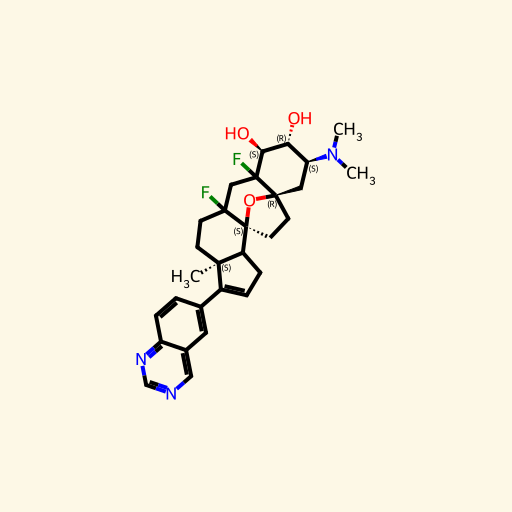 CN(C)[C@H]1C[C@@]23CC[C@]4(O2)C2CC=C(c5ccc6ncncc6c5)[C@@]2(C)CCC4(F)CC3(F)[C@@H](O)[C@@H]1O